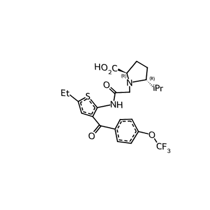 CCc1cc(C(=O)c2ccc(OC(F)(F)F)cc2)c(NC(=O)CN2[C@@H](C(=O)O)CC[C@@H]2C(C)C)s1